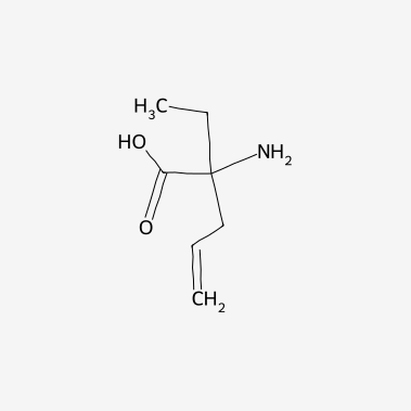 C=CCC(N)(CC)C(=O)O